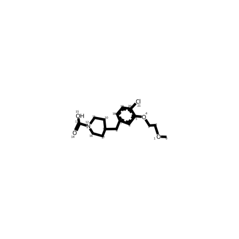 COCCOc1cc(CC2CCN(C(=O)O)CC2)ccc1Cl